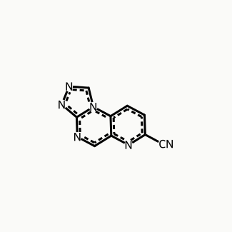 N#Cc1ccc2c(cnc3nncn32)n1